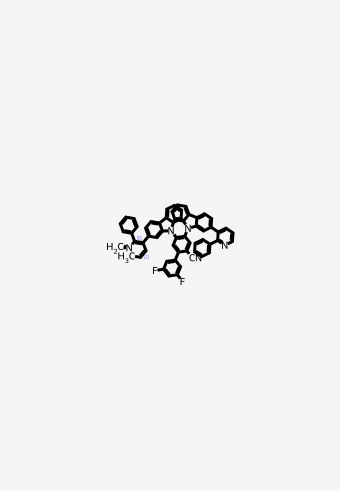 C=N/C(=C(\C=C/C)c1ccc2c3ccccc3n(-c3cc(-c4cc(F)cc(F)c4)c(C#N)cc3-n3c4ccccc4c4ccc(-c5cccnc5-c5ccccc5)cc43)c2c1)c1ccccc1